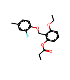 CCOc1cccc(OC(=O)CC)c1COc1ccc(C)cc1F